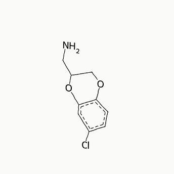 NCC1COc2ccc(Cl)cc2O1